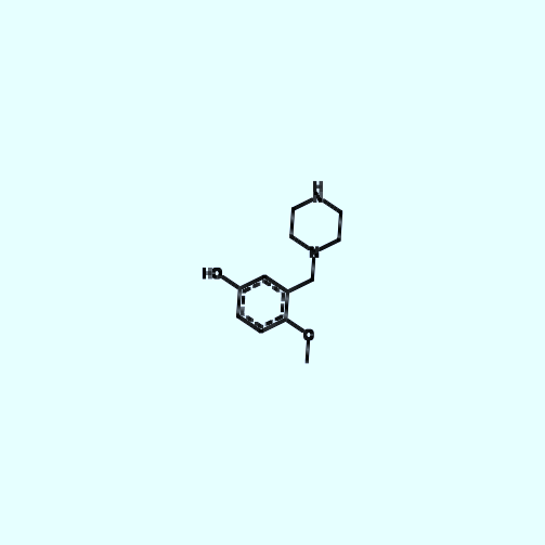 COc1ccc(O)cc1CN1CCNCC1